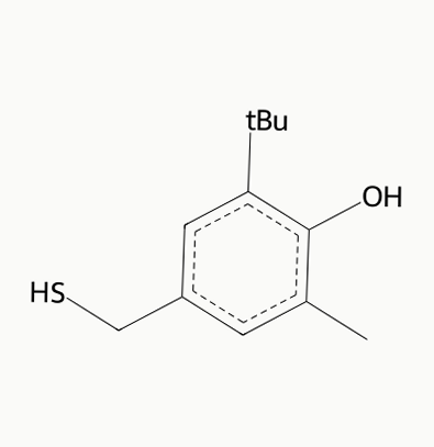 Cc1cc(CS)cc(C(C)(C)C)c1O